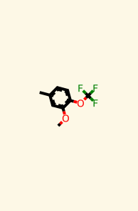 COc1cc(C)ccc1OC(F)(F)F